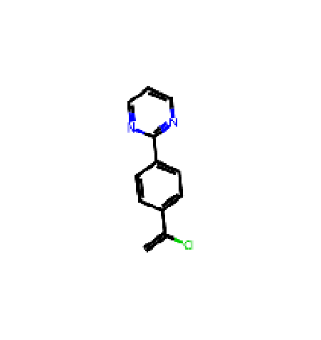 C=C(Cl)c1ccc(-c2ncccn2)cc1